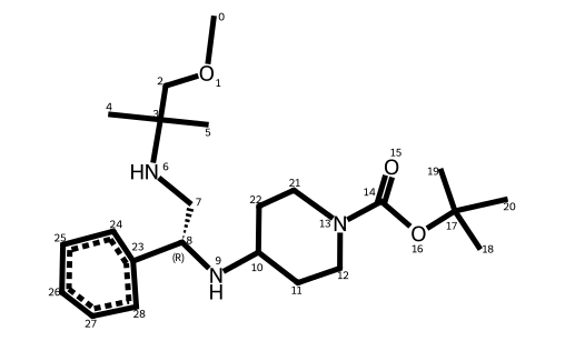 COCC(C)(C)NC[C@H](NC1CCN(C(=O)OC(C)(C)C)CC1)c1ccccc1